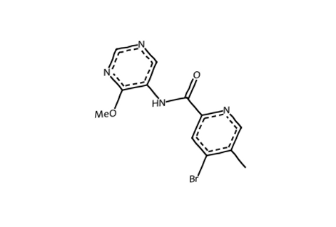 COc1ncncc1NC(=O)c1cc(Br)c(C)cn1